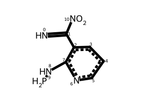 N=C(c1cccnc1NP)[N+](=O)[O-]